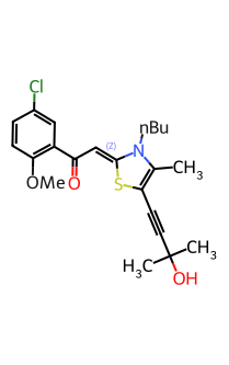 CCCCN1C(C)=C(C#CC(C)(C)O)S/C1=C\C(=O)c1cc(Cl)ccc1OC